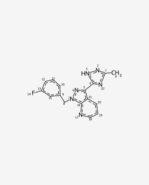 Cc1n[nH]c(-c2nn(Cc3cccc(F)c3)c3ncccc23)n1